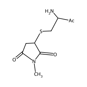 CC(=O)C(N)CSC1CC(=O)N(C)C1=O